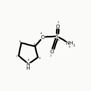 NS(=O)(=O)OC1CCNC1